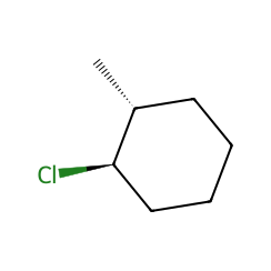 C[C@@H]1CCCC[C@H]1Cl